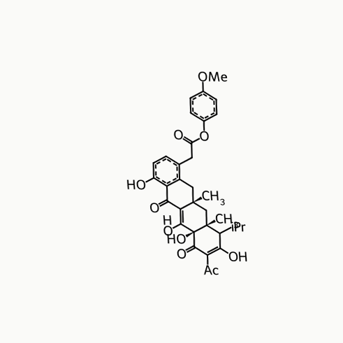 COc1ccc(OC(=O)Cc2ccc(O)c3c2C[C@]2(C)C[C@]4(C)C(C(C)C)C(O)=C(C(C)=O)C(=O)[C@]4(O)C(O)=C2C3=O)cc1